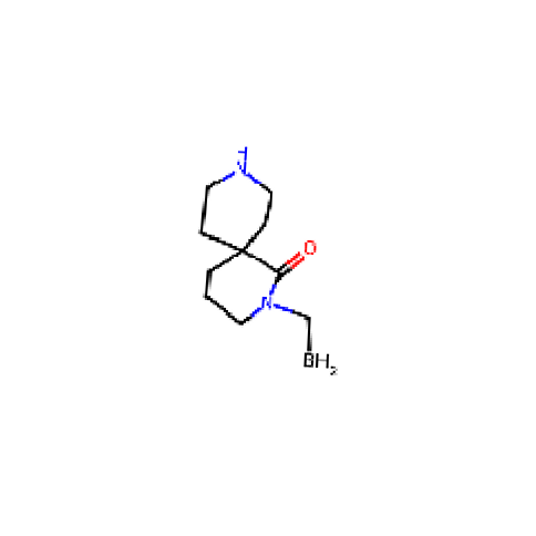 BCN1CCCC2(CCNCC2)C1=O